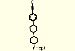 CCCCCCC[C@H]1CC[C@H](C2CCC(c3ccc(C#CCl)cc3)CC2)CC1